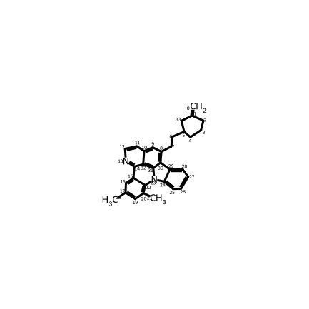 C=C1CCCC(CCc2cc3ccnc4c5cc(C)cc(C)c5n5c6ccccc6c2c5c34)C1